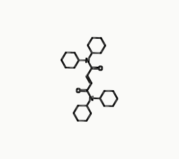 O=C(/C=C/C(=O)N(C1CCCCC1)C1CCCCC1)N(C1CCCCC1)C1CCCCC1